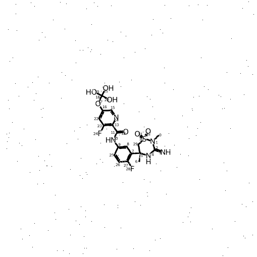 CN1C(=N)N[C@](C)(c2cc(NC(=O)c3ncc(OC(O)(O)O)cc3F)ccc2F)CS1(=O)=O